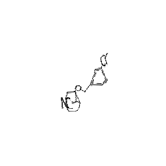 Clc1ccc(COC2CN3CCC2CC3)cc1